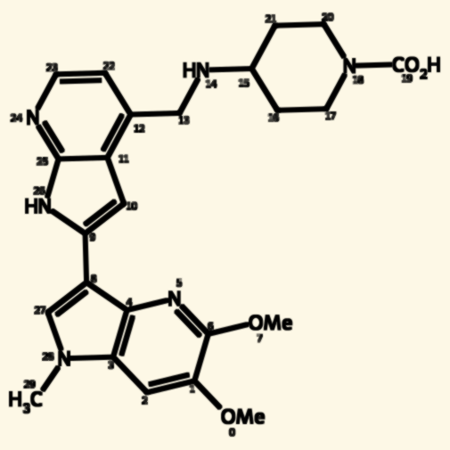 COc1cc2c(nc1OC)c(-c1cc3c(CNC4CCN(C(=O)O)CC4)ccnc3[nH]1)cn2C